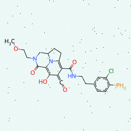 COCCN1CC2CCC3=C(C(=O)NCCc4ccc(P)c(Cl)c4)C(=C=O)C(O)=C(C1=O)N32